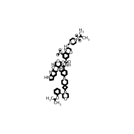 CC(C)Oc1ccccc1[C@@H]1COCCN1C1CC2(CCN(c3ccc(C(=O)NS(=O)(=O)c4cc5c(c([N+](=O)[O-])c4)N[C@H](CN4CCN(S(=O)(=O)C(C)C)CC4)CO5)c(N4c5cc6cc[nH]c6nc5O[C@H]5COCC[C@@H]54)c3)CC2)C1